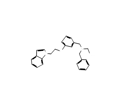 CCOC(=O)CN(Cc1ccccc1)Cc1cccc(OCCn2ccc3ccccc32)c1